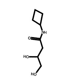 O=C(CC(O)CO)NC1CCC1